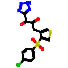 O=C(Cc1cscc1S(=O)(=O)c1ccc(Cl)cc1)C(=O)c1nn[nH]n1